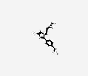 CCCCOCCn1cc(C(F)(F)F)nc1-c1ccc(CN)cc1